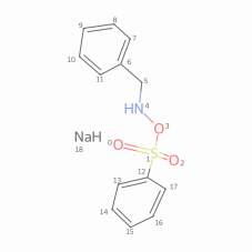 O=S(=O)(ONCc1ccccc1)c1ccccc1.[NaH]